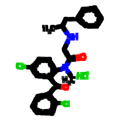 CC(Cc1ccccc1)NCC(=O)N(C)c1ccc(Cl)cc1C(=O)c1ccccc1Cl.Cl